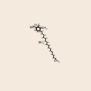 CCCCCCCCCCCCCCCCCCc1ccc(CBr)c(C)c1C.P